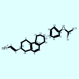 CCCC=C[C@H]1CCc2c(ccc3c2CC[C@H](c2ccc(OC(F)F)cc2)C3)C1